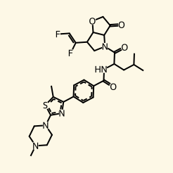 Cc1sc(N2CCN(C)CC2)nc1-c1ccc(C(=O)NC(CC(C)C)C(=O)N2CC(C(F)=CF)C3OCC(=O)C32)cc1